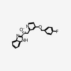 [O-][S+](Cc1cc(OCc2ccc(F)cc2)ccn1)c1nc2ccccc2[nH]1